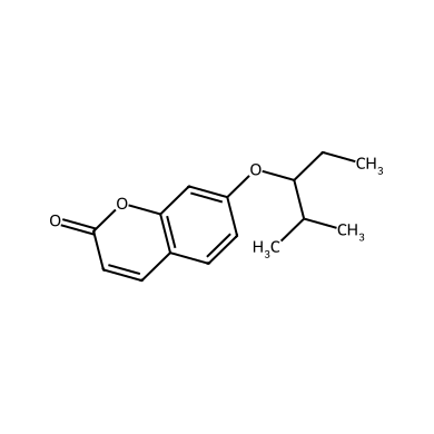 CCC(Oc1ccc2ccc(=O)oc2c1)C(C)C